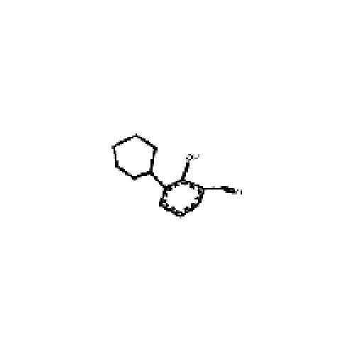 O=Cc1cccc(C2CCCCC2)c1O